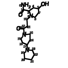 NC(=O)C1CC(O)CCN1C[CH]C(=O)N1CCC(N2CCCCC2)CC1